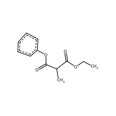 CCOC(=O)C(C)C(=O)Oc1ccccc1